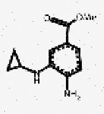 COC(=O)c1ccc(N)c(NC2CC2)c1